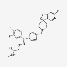 CNC(=O)CON=C(c1ccc(CN2CCC3(CC2)OCc2cc(F)ncc23)cc1)c1ccc(F)c(F)c1